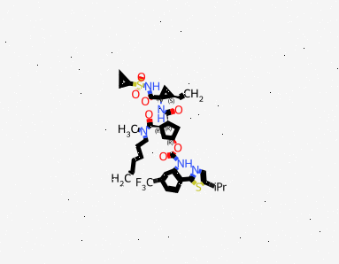 C=CCCCCN(C)C(=O)[C@@H]1C[C@H](OC(=O)Nc2cc(C(F)(F)F)ccc2-c2ncc(C(C)C)s2)C[C@H]1C(=O)N[C@]1(C(=O)NS(=O)(=O)C2CC2)C[C@H]1C=C